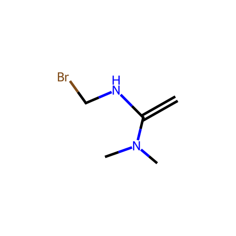 C=C(NCBr)N(C)C